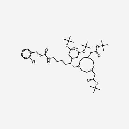 CC(C)(C)OC(=O)CN1CCN(CC(=O)OC(C)(C)C)CCN(C[C@H](CCCCNC(=O)OCc2ccccc2Cl)N(CC(=O)OC(C)(C)C)CC(=O)OC(C)(C)C)CC1